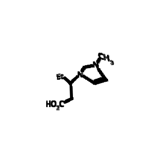 CCC(CC(=O)O)N1C=CN(C)C1